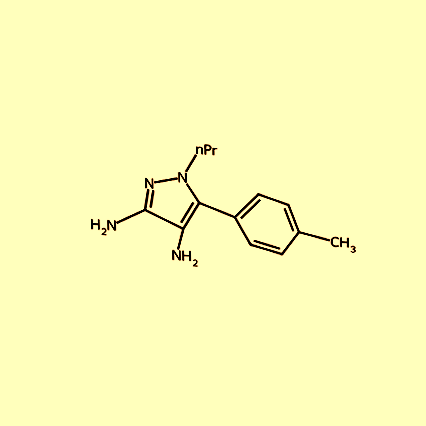 CCCn1nc(N)c(N)c1-c1ccc(C)cc1